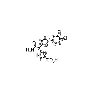 NC(=O)C(c1nc(C(=O)O)c[nH]1)c1ccc(-c2ccc(Cl)c(Cl)c2)o1